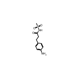 CS(=O)(=O)NC(=O)CCc1ccc(N)cc1